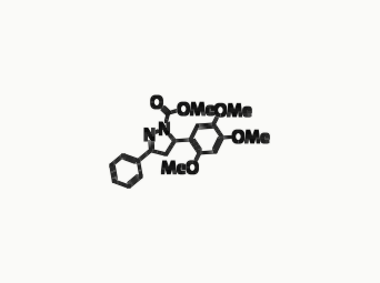 COC(=O)N1N=C(c2ccccc2)CC1c1cc(OC)c(OC)cc1OC